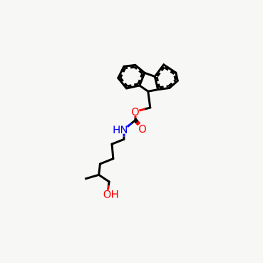 CC(CO)CCCCNC(=O)OCC1c2ccccc2-c2ccccc21